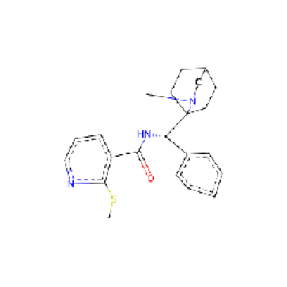 CSc1ncccc1C(=O)N[C@@H](c1ccccc1)C12CCC(CC1)CN2C